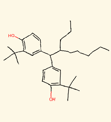 CCCCCC(CCC)C(c1ccc(O)c(C(C)(C)C)c1)c1ccc(O)c(C(C)(C)C)c1